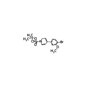 COc1cc(C2=CCN(C(=O)OC(C)(C)C)C=C2)ccc1Br